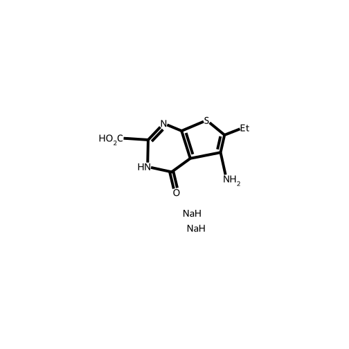 CCc1sc2nc(C(=O)O)[nH]c(=O)c2c1N.[NaH].[NaH]